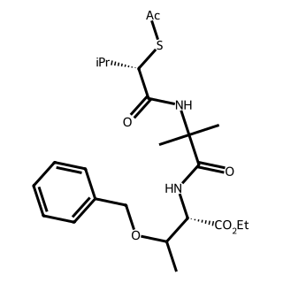 CCOC(=O)[C@@H](NC(=O)C(C)(C)NC(=O)[C@@H](SC(C)=O)C(C)C)C(C)OCc1ccccc1